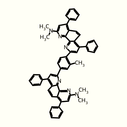 Cc1cc(-c2cc(-c3ccccc3)c3ccc4c(-c5ccccc5)cc(N(C)C)nc4c3n2)ccc1-c1cc(-c2ccccc2)c2ccc3c(-c4ccccc4)cc(N(C)C)nc3c2n1